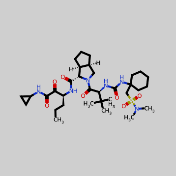 CCC[C@H](NC(=O)[C@@H]1[C@H]2CCC[C@H]2CN1C(=O)[C@@H](NC(=O)NC1(CS(=O)(=O)N(C)C)CCCCC1)C(C)(C)C)C(=O)C(=O)NC1CC1